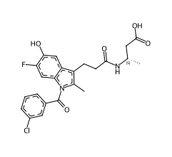 Cc1c(CCC(=O)N[C@@H](C)CC(=O)O)c2cc(O)c(F)cc2n1C(=O)c1cccc(Cl)c1